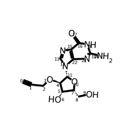 C#CCO[C@@H]1[C@@H](O)[C@@H](CO)O[C@H]1n1cnc2c(=O)[nH]c(N)nc21